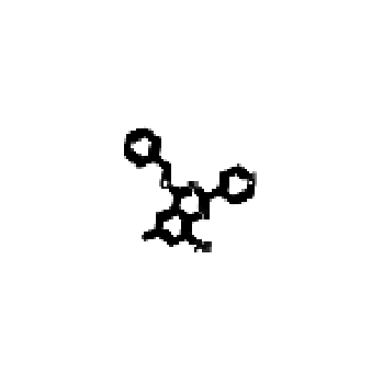 CC(=O)c1cc(C)cc2c(OCc3ccccc3)nc(-c3ccncc3)nc12